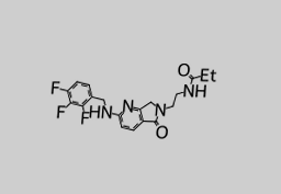 CCC(=O)NCCN1Cc2nc(NCc3ccc(F)c(F)c3F)ccc2C1=O